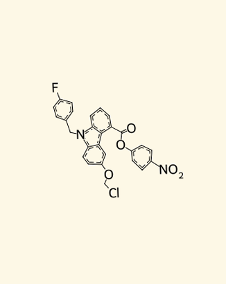 O=C(Oc1ccc([N+](=O)[O-])cc1)c1cccc2c1c1cc(OCCl)ccc1n2Cc1ccc(F)cc1